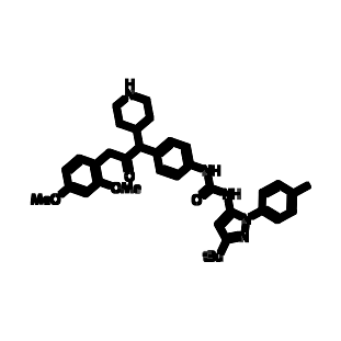 COc1ccc(CC(=O)C(c2ccc(NC(=O)Nc3cc(C(C)(C)C)nn3-c3ccc(C)cc3)cc2)C2CCNCC2)c(OC)c1